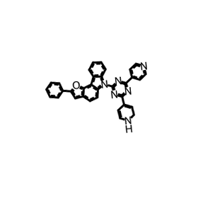 C1=CC(c2nc(-c3ccncc3)nc(-n3c4ccccc4c4c5oc(-c6ccccc6)cc5ccc43)n2)=CCN1